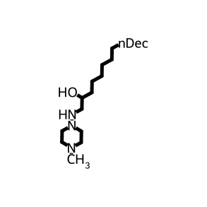 CCCCCCCCCCCCCCCCC(O)CNN1CCN(C)CC1